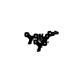 CC(=O)[O-].CC(=O)[O-].O.O.[Co+2]